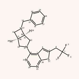 FC(F)(F)Cc1cc2c(N3C[C@H]4CN(Cc5ccccc5)[C@H]4C3)ncnc2s1